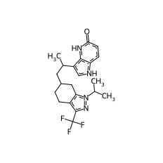 CC(CC1CCc2c(C(F)(F)F)nn(C(C)C)c2C1)c1c[nH]c2ccc(=O)[nH]c12